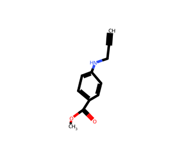 C#CCNc1ccc(C(=O)OC)cc1